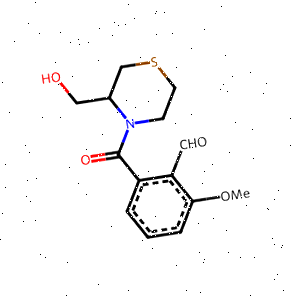 COc1cccc(C(=O)N2CCSCC2CO)c1C=O